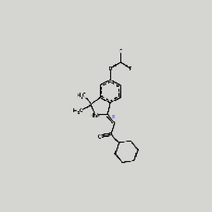 CC1(C)N/C(=C\C(=O)C2CCCCC2)c2ccc(OC(F)F)cc21